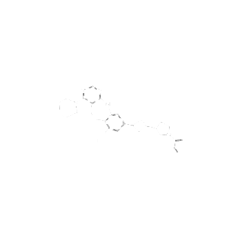 C=CC(=O)N1CCC(N2CC(c3cc(C)c4c(c3)Nc3ncnc(N5CCOCC5)c3CO4)C2)C1